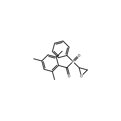 Cc1cc(C)c(C(=O)P(=O)(c2ccccc2)C2CO2)c(C)c1